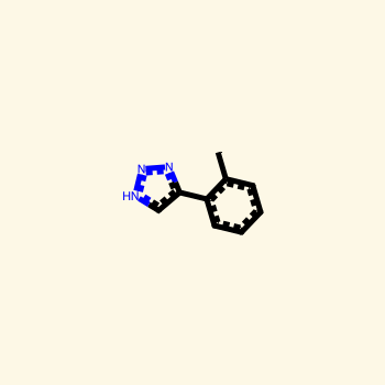 [CH2]c1ccccc1-c1c[nH]nn1